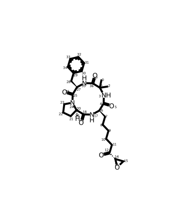 CC1(C)NC(=O)[C@@H](CCCCCC(=O)[C@@H]2CO2)NC(=O)[C@H]2CCCN2C(=O)[C@@H](Cc2ccccc2)NC1=O